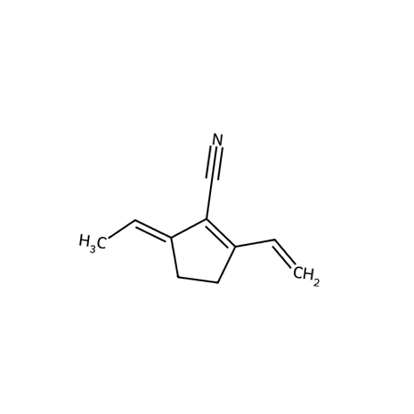 C=CC1=C(C#N)/C(=C/C)CC1